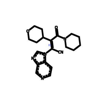 N#C/C(=C(\C(=O)N1CCCCC1)C1CCOCC1)n1cnc2cnccc21